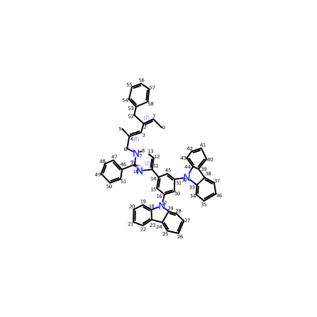 C/C=C(\C=C(/C)CN(C)/C(=N\C(=C/C)c1cc(-n2c3ccccc3c3ccccc32)cc(-n2c3ccccc3c3ccccc32)c1)c1ccccc1)Cc1ccccc1